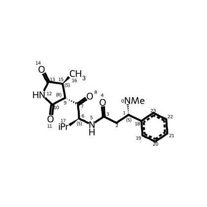 CN[C@@H](CC(=O)N[C@H](C(=O)[C@@H]1C(=O)NC(=O)[C@H]1C)C(C)C)c1ccccc1